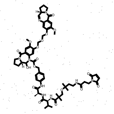 COc1cc2c(cc1OCOCOc1cc3c(cc1OC)C(=O)N1CCC[C@H]1C(O)N3C(=O)OCc1ccc(NC(=O)[C@H](C)NC(=O)[C@@H](NC(=O)C(C)(C)COC(C)(C)CCNC(=O)CCN3C(=O)C=CC3=O)C(C)C)cc1)N=C[C@@H]1CCCN1C2=O